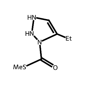 CCC1=CNNN1C(=O)SC